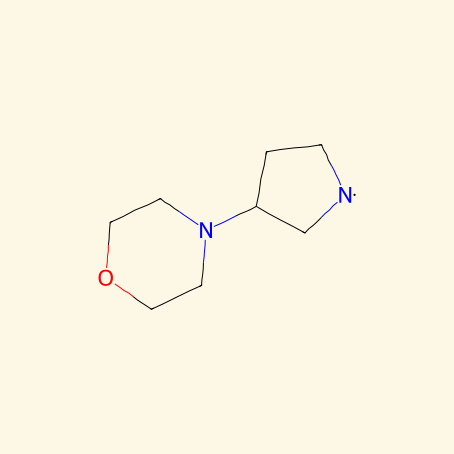 C1CC(N2CCOCC2)C[N]1